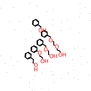 OCCOCCOCc1ccccc1.OCCOCc1ccccc1.OCCOc1ccccc1.OCCc1ccccc1.OCc1ccccc1